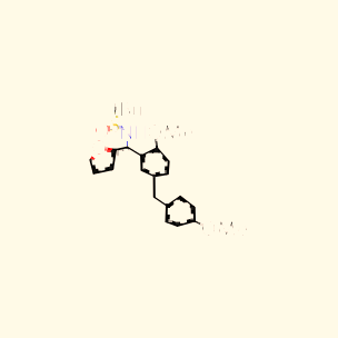 COc1ccc(Cc2ccc(OC)c([C@H](N[S@@+]([O-])C(C)(C)C)c3ccco3)c2)cc1